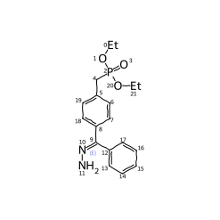 CCOP(=O)(Cc1ccc(/C(=N/N)c2ccccc2)cc1)OCC